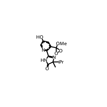 COC1(c2cc(O)cnc2C2=NC(C)(C(C)C)C(=O)N2)OO1